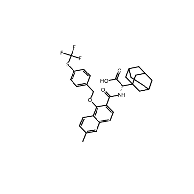 Cc1ccc2c(OCc3ccc(SC(F)(F)F)cc3)c(C(=O)N[C@H](C(=O)O)C34CC5CC(CC(C5)C3)C4)ccc2c1